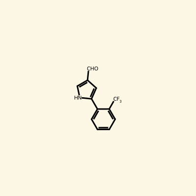 O=Cc1c[nH]c(-c2ccccc2C(F)(F)F)c1